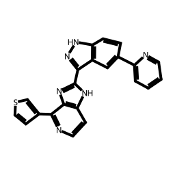 c1ccc(-c2ccc3[nH]nc(-c4nc5c(-c6ccsc6)nccc5[nH]4)c3c2)nc1